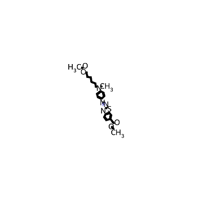 CCOC(=O)c1ccc2nc(/N=N/c3ccc(N(C)CCCCCCOC(C)=O)cc3)sc2c1